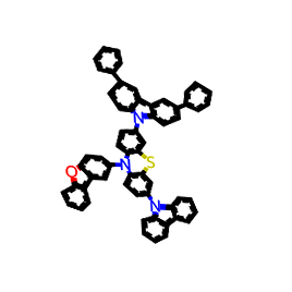 c1ccc(-c2ccc3c(c2)c2cc(-c4ccccc4)ccc2n3-c2ccc3c(c2)Sc2cc(-n4c5ccccc5c5ccccc54)ccc2N3c2ccc3oc4ccccc4c3c2)cc1